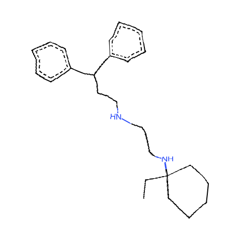 CCC1(NCCNCCC(c2ccccc2)c2ccccc2)CCCCC1